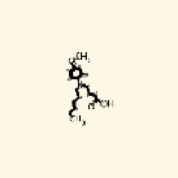 CCCCCCN(CCCC(=O)O)c1ccc(OC)cc1